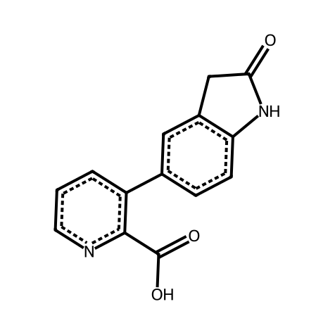 O=C1Cc2cc(-c3cccnc3C(=O)O)ccc2N1